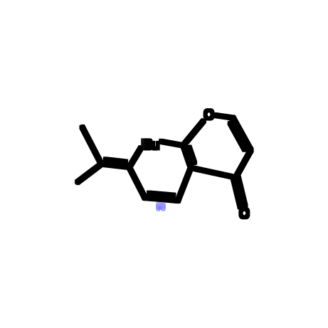 CCC(C)C(/C=C\c1c(C)occc1=O)=C(C)C